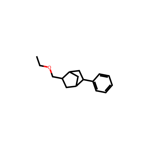 CCOCC1CC2CC1CC2c1ccccc1